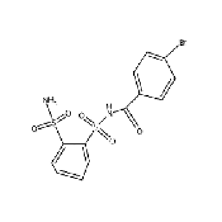 NS(=O)(=O)c1ccccc1S(=O)(=O)NC(=O)c1ccc(Br)cc1